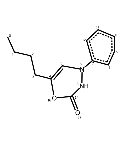 CCCCC1=CN(c2ccccc2)NC(=O)O1